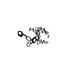 COC(=O)c1cc(Cl)c(OCc2ccccc2)cc1B1OC(C)(C)C(C)(C)O1